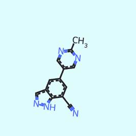 Cc1ncc(-c2cc(C#N)c3[nH]ncc3c2)cn1